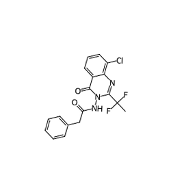 CC(F)(F)c1nc2c(Cl)cccc2c(=O)n1NC(=O)Cc1ccccc1